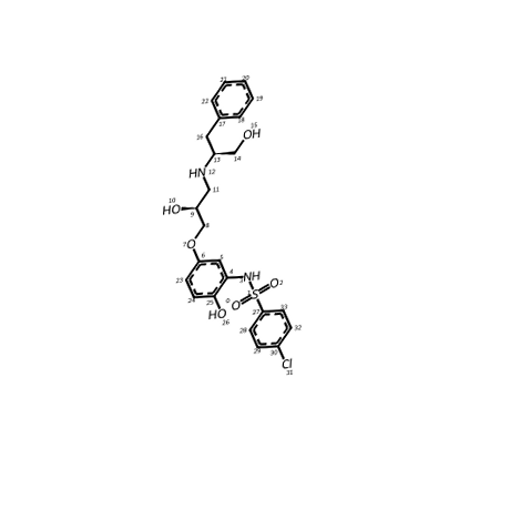 O=S(=O)(Nc1cc(OC[C@@H](O)CN[C@H](CO)Cc2ccccc2)ccc1O)c1ccc(Cl)cc1